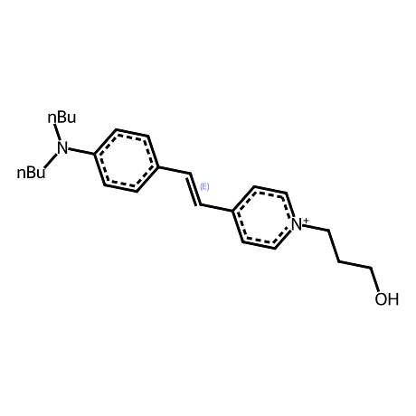 CCCCN(CCCC)c1ccc(/C=C/c2cc[n+](CCCO)cc2)cc1